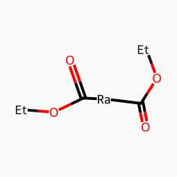 CCO[C](=O)[Ra][C](=O)OCC